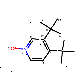 CC(C)(C)c1cc[n+]([O-])cc1C(C)(C)C